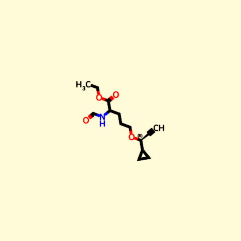 C#C[C@H](OCCCC(NC=O)C(=O)OCC)C1CC1